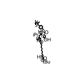 Cc1ncsc1-c1ccc(CNC(=O)[C@@H]2C[C@@H](O)CN2C(=O)[C@@H](c2cc(OCCCCCCCCNC(=O)OC(C)(C)C)no2)C(C)C)cc1